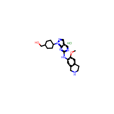 COc1cc2c(cc1Nc1ncc3cnn(C4CCC(CO)CC4)c3n1)CNCC2.Cl